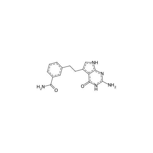 NC(=O)c1cccc(CCc2c[nH]c3nc(N)[nH]c(=O)c23)c1